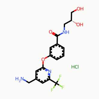 Cl.NCc1cc(Oc2cccc(C(=O)NC[C@@H](O)CO)c2)nc(C(F)(F)F)c1